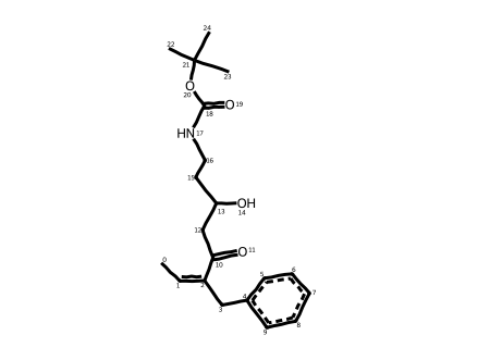 CC=C(Cc1ccccc1)C(=O)CC(O)CCNC(=O)OC(C)(C)C